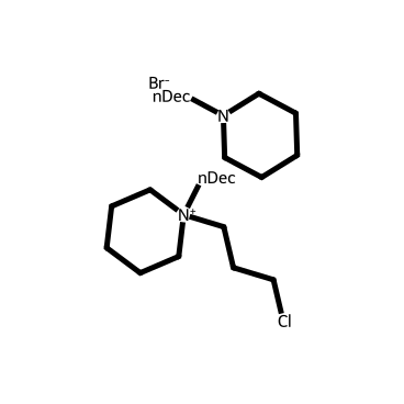 CCCCCCCCCCN1CCCCC1.CCCCCCCCCC[N+]1(CCCCl)CCCCC1.[Br-]